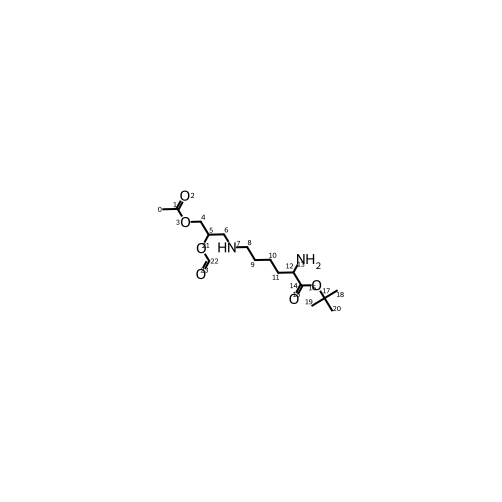 CC(=O)OCC(CNCCCCC(N)C(=O)OC(C)(C)C)OC=O